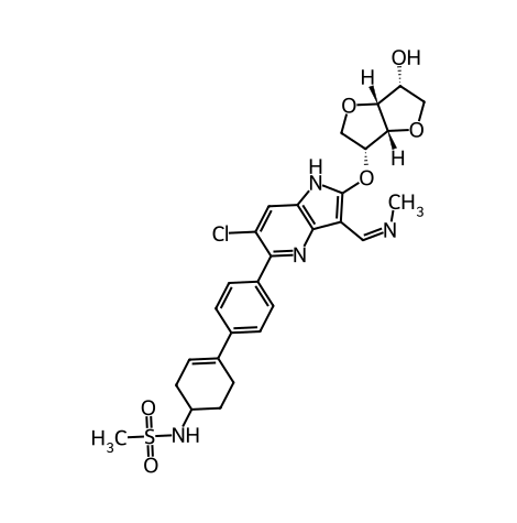 C/N=C\c1c(O[C@@H]2CO[C@H]3[C@@H]2OC[C@H]3O)[nH]c2cc(Cl)c(-c3ccc(C4=CCC(NS(C)(=O)=O)CC4)cc3)nc12